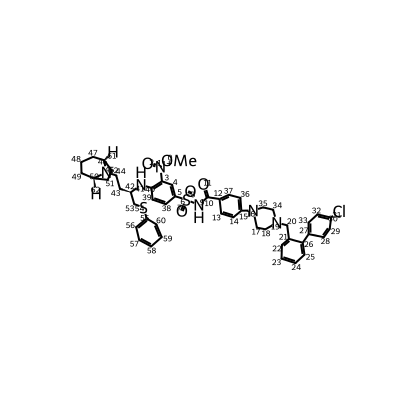 CO[N+](=O)c1cc(S(=O)(=O)NC(=O)c2ccc(N3CCN(Cc4ccccc4-c4ccc(Cl)cc4)CC3)cc2)ccc1N[C@H](CCN1[C@@H]2CCC[C@H]1CC2)CSc1ccccc1